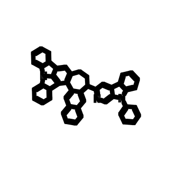 c1ccc(-n2c3ccccc3c3cc(C4CCc5cc6c7ccccc7n7c8ccccc8c(c5-c5cc8ccccc8cc54)c67)ncc32)cc1